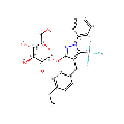 CCc1ccc(Cc2c(O[C@H]3O[C@H](CO)[C@@H](O)[C@H](O)[C@H]3O)nn(-c3ccccc3)c2C(F)(F)F)cc1